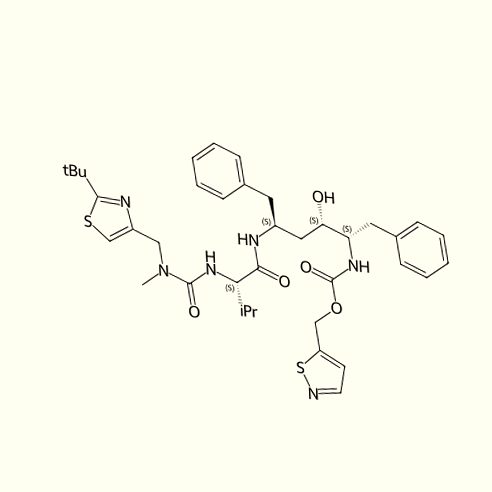 CC(C)[C@H](NC(=O)N(C)Cc1csc(C(C)(C)C)n1)C(=O)N[C@@H](Cc1ccccc1)C[C@H](O)[C@H](Cc1ccccc1)NC(=O)OCc1ccns1